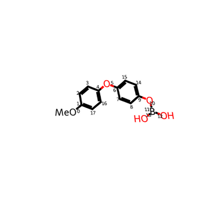 COc1ccc(Oc2ccc(OB(O)O)cc2)cc1